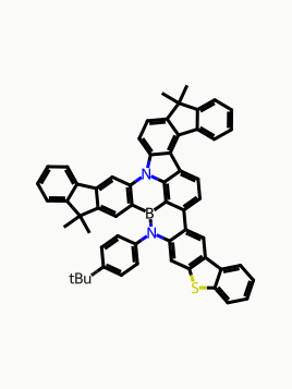 CC(C)(C)c1ccc(N2B3c4cc5c(cc4-n4c6ccc7c(c6c6ccc(c3c64)-c3cc4c(cc32)sc2ccccc24)-c2ccccc2C7(C)C)-c2ccccc2C5(C)C)cc1